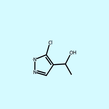 CC(O)C1=C(Cl)[N]N=C1